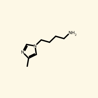 Cc1cn(CCCCN)cn1